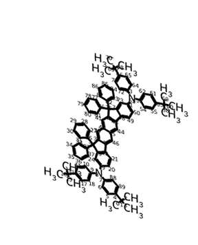 CC(C)(C)c1ccc(N(c2ccc(C(C)(C)C)cc2)c2ccc3c(c2)C(c2ccccc2)(c2ccccc2)c2cc4cc5c(cc4cc2-3)-c2ccc(N(c3ccc(C(C)(C)C)cc3)c3ccc(C(C)(C)C)cc3)cc2C5(c2ccccc2)c2ccccc2)cc1